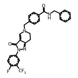 O=C(NCc1ccccc1)c1ccc(CN2C=C3C(=O)N(c4ccc(F)c(C(F)(F)F)c4)N=C3CC2)cc1